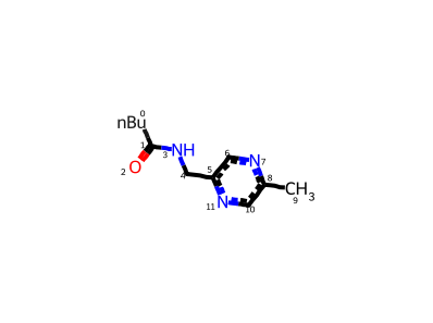 CCCCC(=O)NCc1cnc(C)cn1